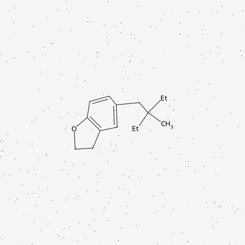 CCC(C)(CC)Cc1ccc2c(c1)CCO2